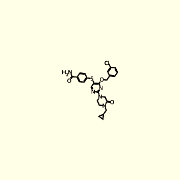 NC(=O)c1ccc(Sc2cnc(N3CCN(CC4CC4)C(=O)C3)nc2OCc2cccc(Cl)c2)cc1